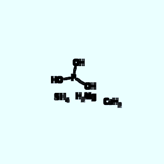 OP(O)O.[CaH2].[MgH2].[SiH4]